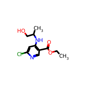 CCOC(=O)c1cnc(Cl)cc1NC(C)CO